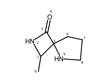 CC1NC(=O)C12CCCN2